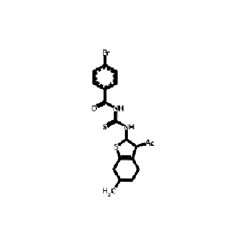 CC(=O)C1C2=C(CC(C)CC2)SC1NC(=S)NC(=O)c1ccc(Br)cc1